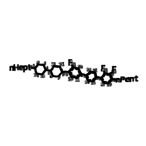 CCCCCCCC1CCC(C2CCC(c3ccc(-c4ccc(-c5ccc(CCCCC)c(F)c5F)cc4)cc3F)CC2)CC1